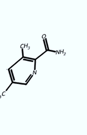 Cc1[c]c(C)c(C(N)=O)nc1